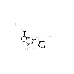 CCONC(=O)c1cnn2c(NC)cc(Nc3cccnc3OC)nc12